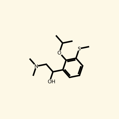 CSc1cccc(C(O)CN(C)C)c1OC(C)C